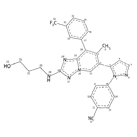 Cc1c(-c2ccnn2-c2ccc(C#N)cc2)cn2nc(NCCCO)nc2c1-c1cccc(C(F)(F)F)c1